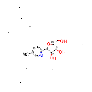 N#Cc1ccc(C2O[C@H](CO)[C@@H](O)[C@H]2O)nc1